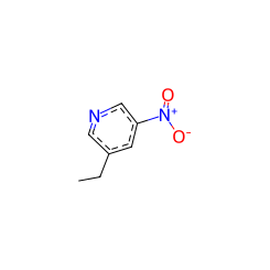 CCc1cncc([N+](=O)[O-])c1